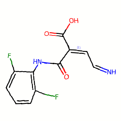 N=C/C=C(/C(=O)O)C(=O)Nc1c(F)cccc1F